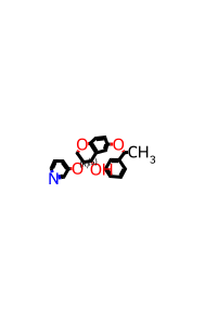 CC(Oc1ccc2c(c1)[C@H](O)[C@H](Oc1cccnc1)CO2)c1ccccc1